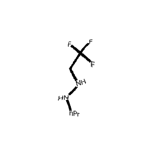 CCCNNCC(F)(F)F